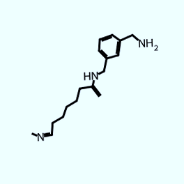 C=C(CCCCC/C=N\C)NCc1cccc(CN)c1